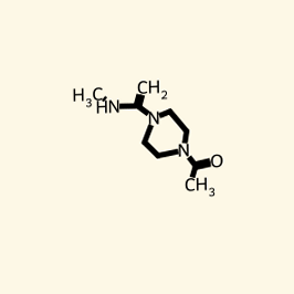 C=C(NC)N1CCN(C(C)=O)CC1